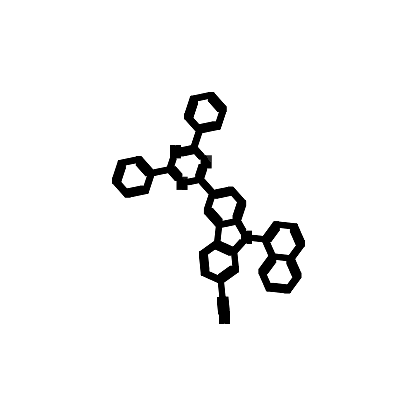 N#Cc1ccc2c3cc(-c4nc(-c5ccccc5)nc(-c5ccccc5)n4)ccc3n(-c3cccc4ccccc34)c2c1